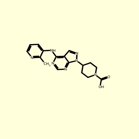 Cc1ncccc1Nc1ncnc2c1cnn2C1CCN(C(=O)O)CC1